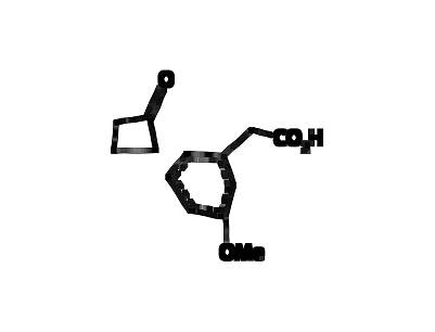 COc1cccc(CC(=O)O)c1.O=C1CCC1